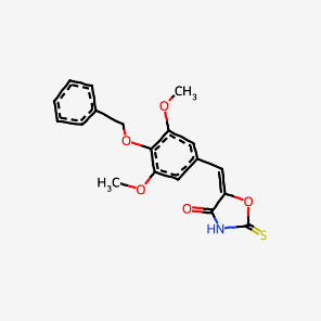 COc1cc(C=C2OC(=S)NC2=O)cc(OC)c1OCc1ccccc1